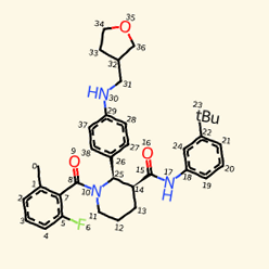 Cc1cccc(F)c1C(=O)N1CCC[C@H](C(=O)Nc2cccc(C(C)(C)C)c2)[C@@H]1c1ccc(NCC2CCOC2)cc1